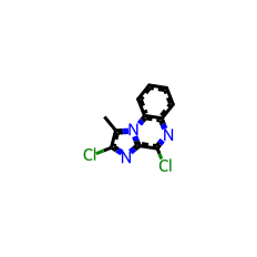 Cc1c(Cl)nc2c(Cl)nc3ccccc3n12